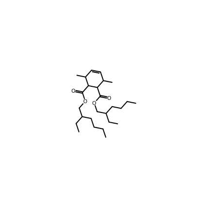 CCCCC(CC)COC(=O)C1C(C)C=CC(C)C1C(=O)OCC(CC)CCCC